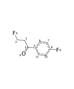 O=C(CCF)c1ccc(F)cc1